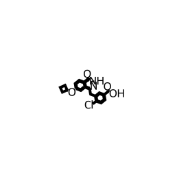 O=C(O)c1ccc(Cl)c(Cc2n[nH]c(=O)c3ccc(OC4CCC4)cc23)c1